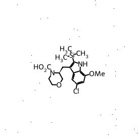 COc1cc(Cl)cc2c(C[C@H]3COCCN3C(=O)O)c([Si](C)(C)C)[nH]c12